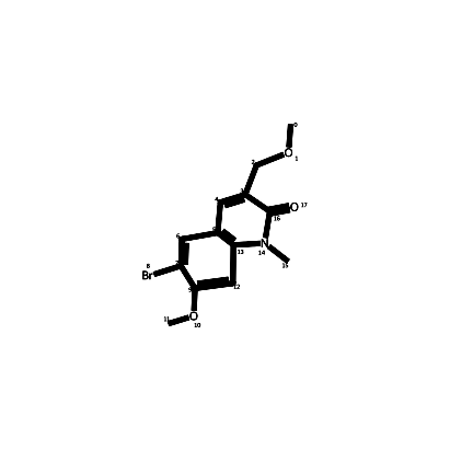 COCc1cc2cc(Br)c(OC)cc2n(C)c1=O